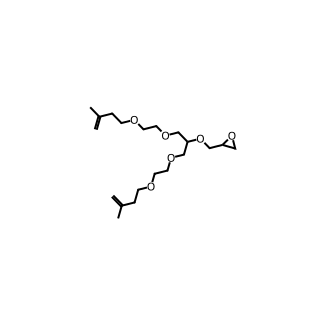 C=C(C)CCOCCOCC(COCCOCCC(=C)C)OCC1CO1